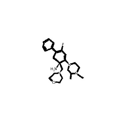 CC1CN(C2=CC(F)=C(c3ccccc3)C[C@@]2(N)CN2CCOCC2)CCN1C